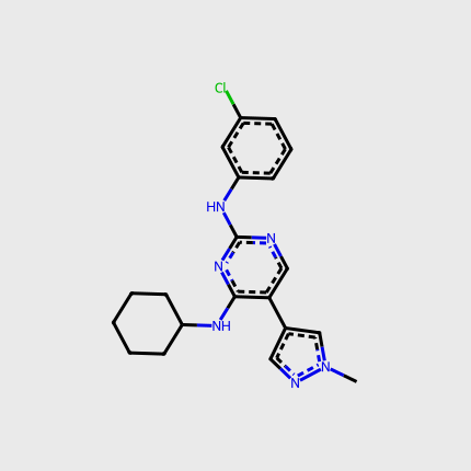 Cn1cc(-c2cnc(Nc3cccc(Cl)c3)nc2NC2CCCCC2)cn1